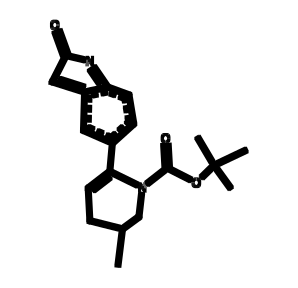 CC1CC=C(c2ccc3c(c2)=CC(=O)N=3)N(C(=O)OC(C)(C)C)C1